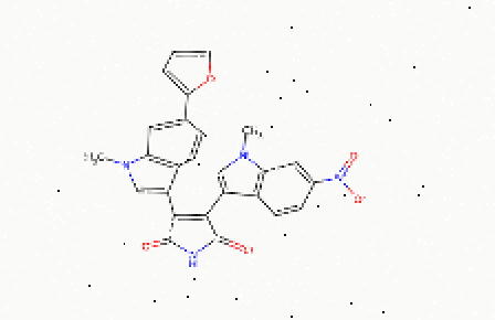 Cn1cc(C2=C(c3cn(C)c4cc([N+](=O)[O-])ccc34)C(=O)NC2=O)c2ccc(-c3ccco3)cc21